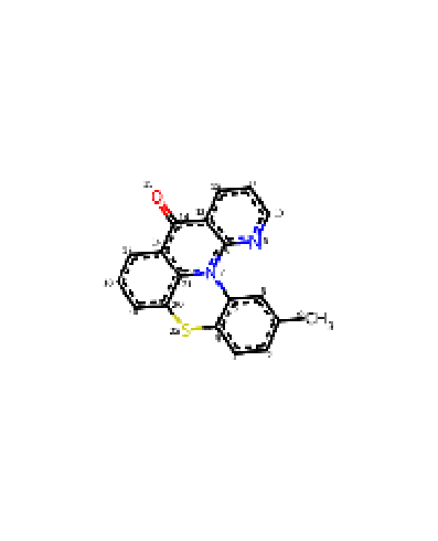 Cc1ccc2c(c1)-n1c3ncccc3c(=O)c3cccc(c31)S2